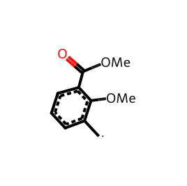 [CH2]c1cccc(C(=O)OC)c1OC